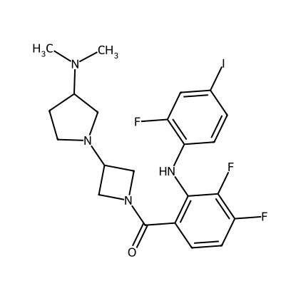 CN(C)C1CCN(C2CN(C(=O)c3ccc(F)c(F)c3Nc3ccc(I)cc3F)C2)C1